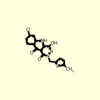 Cc1ccc(Cn2nc(O)c3[nH]c4cc(Cl)ccc4c(=O)c3c2=O)s1